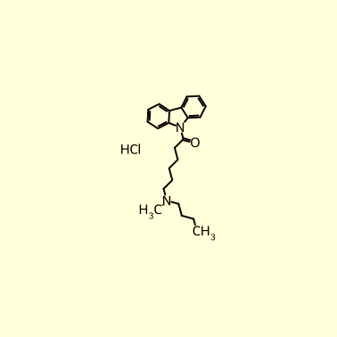 CCCCN(C)CCCCCC(=O)n1c2ccccc2c2ccccc21.Cl